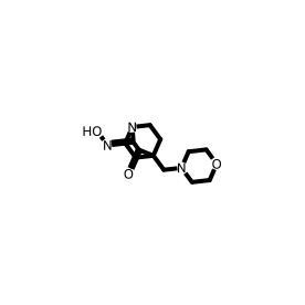 O=C1C(=NO)N2CCC1(CN1CCOCC1)CC2